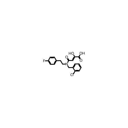 O=C(O)C(O)=CC(=O)N(CCc1ccc(F)cc1)Cc1ccccc1Cl